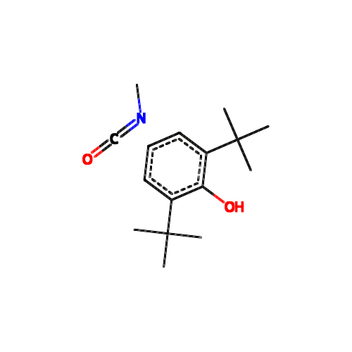 CC(C)(C)c1cccc(C(C)(C)C)c1O.CN=C=O